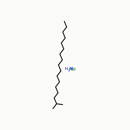 Br.CCCCCCCCCCCCCCCC(C)C.N